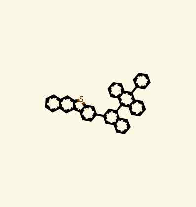 c1ccc(-c2c3ccccc3c(-c3cc(-c4ccc5c(c4)sc4cc6ccccc6cc45)cc4ccccc34)c3ccccc23)cc1